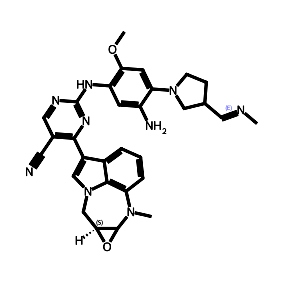 C/N=C/C1CCN(c2cc(OC)c(Nc3ncc(C#N)c(-c4cn5c6c(cccc46)N(C)C4O[C@H]4C5)n3)cc2N)C1